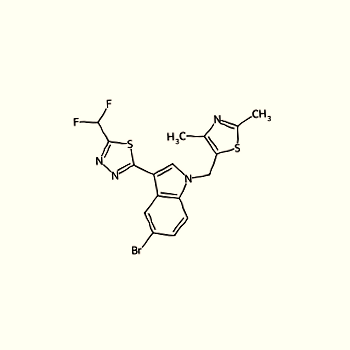 Cc1nc(C)c(Cn2cc(-c3nnc(C(F)F)s3)c3cc(Br)ccc32)s1